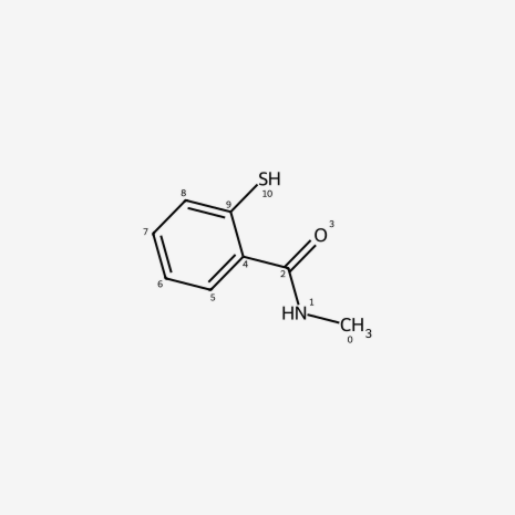 CNC(=O)c1ccccc1S